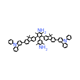 Cc1cc(-c2c(-c3ccc4c(c3)C(C)(C)c3cc(-c5ccc6c(c5)c5ccccc5n6-c5ccccc5)ccc3-4)c(C)c(N)c(C)c2-c2ccc3c(c2)C(C)(C)c2cc(-c4ccc5c(c4)c4ccccc4n5-c4ccccc4)ccc2-3)cc(C)c1N